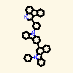 c1ccc(-n2c3ccccc3c3c4ccccc4c(-c4ccc5c(c4)c4ccccc4n5-c4cccc(-c5cnc6cccc7c6c5-c5ccccc5-7)c4)cc32)cc1